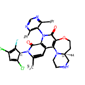 CC(C)c1ncnc(C(C)C)c1-n1c(=O)c2c(c3cc(C(F)(F)F)n([C@H]4C(Cl)=CC(Cl)=C4F)c(=O)c31)N1CCNC[C@@H]1CCO2